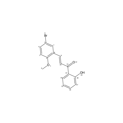 COc1ccc(Br)cc1C=CC(=O)c1ccccc1O